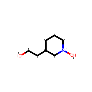 OCCC1CCCN(O)C1